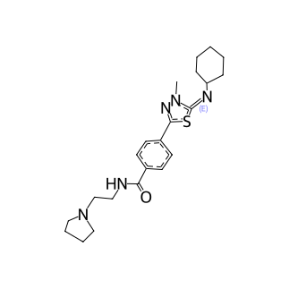 Cn1nc(-c2ccc(C(=O)NCCN3CCCC3)cc2)s/c1=N/C1CCCCC1